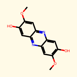 COc1cc2nc3cc(O)c(OC)cc3nc2cc1O